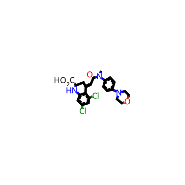 CN(C(=O)C=C1CC(C(=O)O)Nc2cc(Cl)cc(Cl)c21)c1ccc(N2CCOCC2)cc1